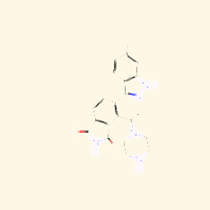 CCC(c1c(-c2n[nH]c3cc(F)ccc23)ccc2c1C(=O)NC2=O)N1CCNCC1.Cl